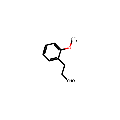 O=CCCc1ccccc1OC(F)(F)F